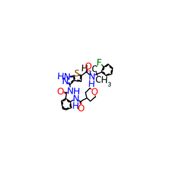 CC(C)(NC(=O)c1cc2c(NC(=O)c3ccccc3NC(=O)C3CCOCC3)n[nH]c2s1)c1ccccc1F